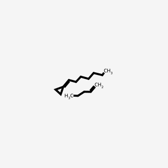 C=CCCC.CCCCCCC=C1CC1